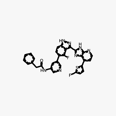 O=C(Cc1ccccc1)Nc1cncc(-c2ccc3[nH]nc(-c4nc5c(-c6ccc(F)s6)ccnc5[nH]4)c3c2F)c1